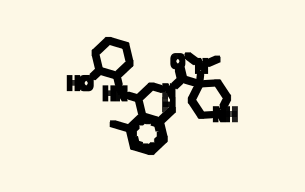 Cc1cccc(C)c1C(CNC(=O)C1(N(C)C)CCNCC1)NC1CCCCC1O